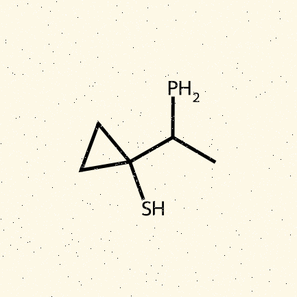 CC(P)C1(S)CC1